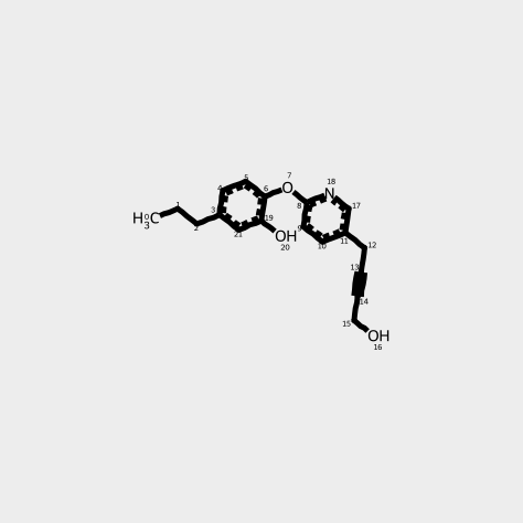 CCCc1ccc(Oc2ccc(CC#CCO)cn2)c(O)c1